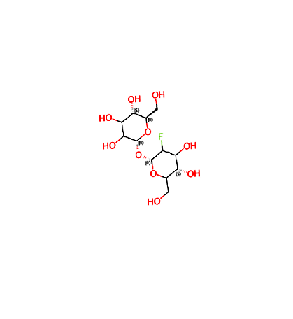 OCC1O[C@H](O[C@H]2O[C@H](CO)[C@@H](O)C(O)C2O)C(F)C(O)[C@@H]1O